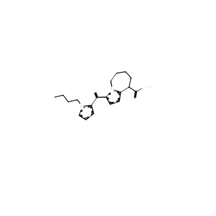 CCCCn1cccc1C(=O)c1ccc2n1CCCCC2C(=O)O